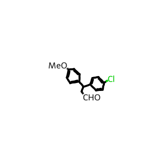 COc1ccc(C(CC=O)c2ccc(Cl)cc2)cc1